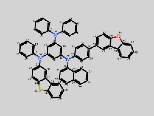 c1ccc(N(c2ccccc2)c2cc(N(c3ccccc3)c3ccc4sc5ccccc5c4c3)cc(N(c3ccc(-c4ccc5oc6ccccc6c5c4)cc3)c3cccc4ccccc34)c2)cc1